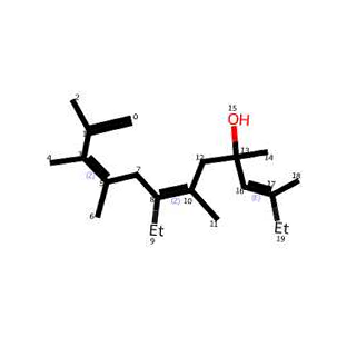 C=C(C)/C(C)=C(/C)C/C(CC)=C(/C)CC(C)(O)/C=C(\C)CC